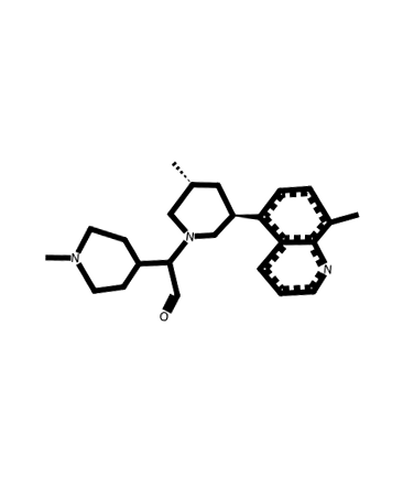 Cc1ccc([C@@H]2C[C@@H](C)CN(C(C=O)C3CCN(C)CC3)C2)c2cccnc12